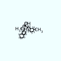 Cc1ccnc(NC2CC(C)(c3ccc4c(c3)CCCC4)OC2=O)c1